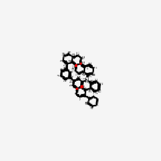 c1ccc(-c2ccccc2-c2ccccc2N(c2cccc(-c3cccc(-c4cccc5ccccc45)c3)c2)c2cccc3ccccc23)cc1